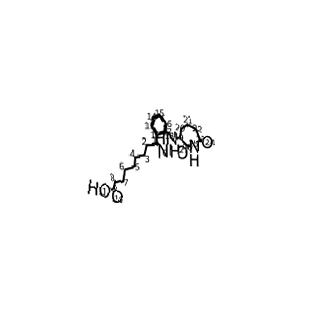 N=C(CCCCCCCC(=O)O)c1ccccc1NC1CCCC(=O)NC1=O